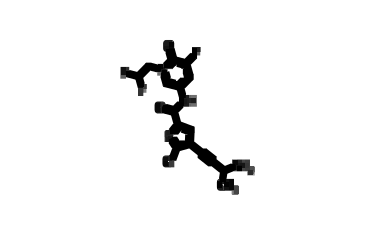 CC(N)C#Cc1cc(C(=O)Nc2cc(F)c(=O)n(CC(F)F)c2)sc1Cl